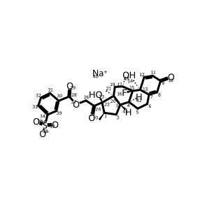 C[C@@H]1C[C@H]2[C@@H]3CCC4=CC(=O)C=C[C@]4(C)[C@@]3(F)[C@@H](O)C[C@]2(C)[C@@]1(O)C(=O)COC(=O)c1cccc(S(=O)(=O)[O-])c1.[Na+]